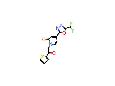 O=C(Cn1ccc(-c2nnc(C(F)F)o2)cc1=O)c1cccs1